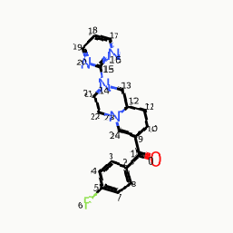 O=C(c1ccc(F)cc1)C1CCC2CN(c3ncccn3)CCN2C1